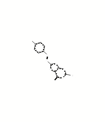 CCc1ccc(N=Nc2nc3nc(N)[nH]c(=O)c3[nH]2)cc1